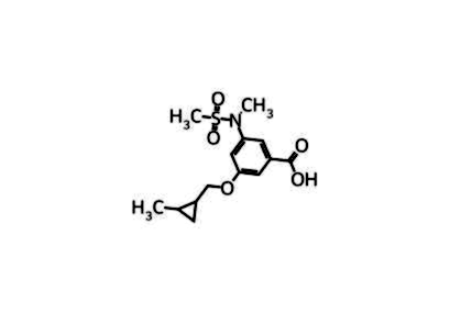 CC1CC1COc1cc(C(=O)O)cc(N(C)S(C)(=O)=O)c1